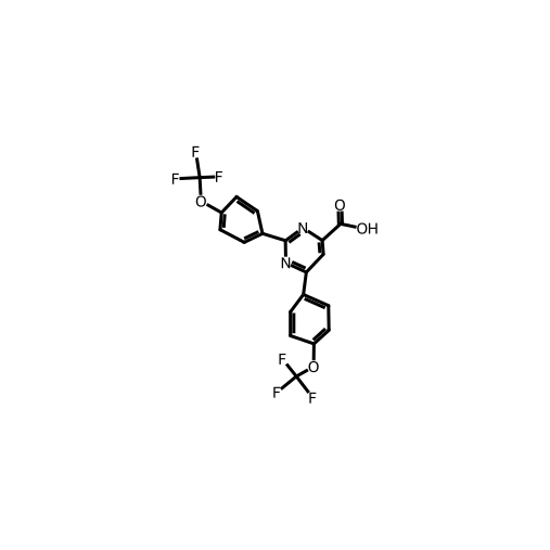 O=C(O)c1cc(-c2ccc(OC(F)(F)F)cc2)nc(-c2ccc(OC(F)(F)F)cc2)n1